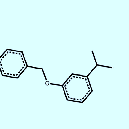 [CH2]C(C)c1cccc(OCc2ccccc2)c1